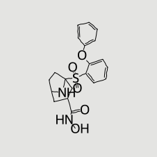 O=C(NO)C1CC2CCC(S(=O)(=O)c3ccccc3Oc3ccccc3)(C1)N2